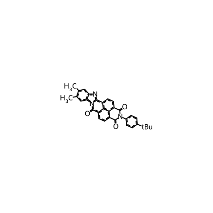 Cc1cc2nc3c4ccc5c6c(ccc(c(=O)n3c2cc1C)c64)C(=O)N(c1ccc(C(C)(C)C)cc1)C5=O